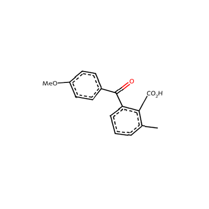 COc1ccc(C(=O)c2cccc(C)c2C(=O)O)cc1